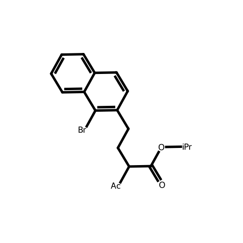 CC(=O)C(CCc1ccc2ccccc2c1Br)C(=O)OC(C)C